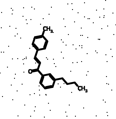 CCCCc1cccc(C(=O)C=Cc2ccc(C)cc2)c1